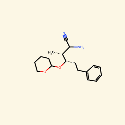 C[C@H](C(N)C#N)[C@H](CCc1ccccc1)OC1CCCCO1